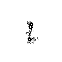 COc1cccc2c1CCC(CNC[C@H](O)COc1ccc(O)c(NS(C)(=O)=O)c1)C2